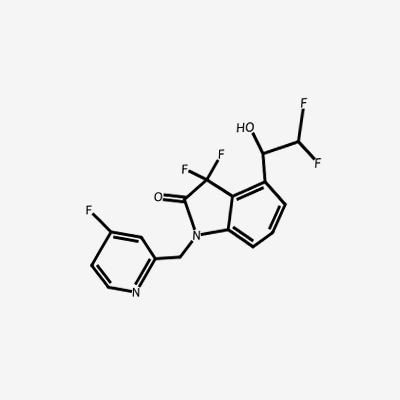 O=C1N(Cc2cc(F)ccn2)c2cccc(C(O)C(F)F)c2C1(F)F